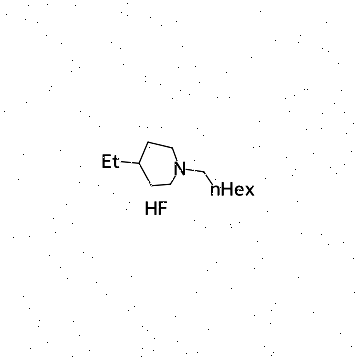 CCCCCCCN1CCC(CC)CC1.F